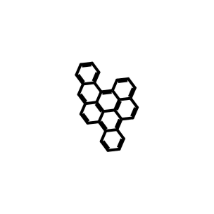 c1ccc2c(c1)cc1ccc3c4ccccc4c4ccc5cccc6c5c4c3c1c26